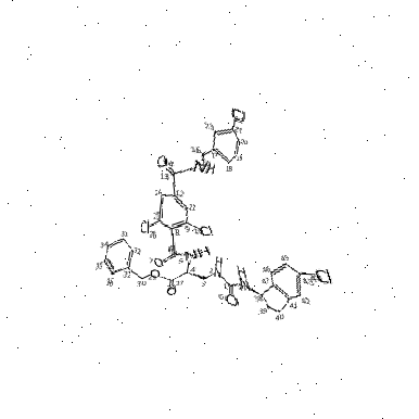 O=C(NC[C@H](NC(=O)c1c(Cl)cc(C(=O)NCc2cccc(Cl)c2)cc1Cl)C(=O)OCc1ccccc1)N[C@@H]1CCc2cc(Cl)ccc21